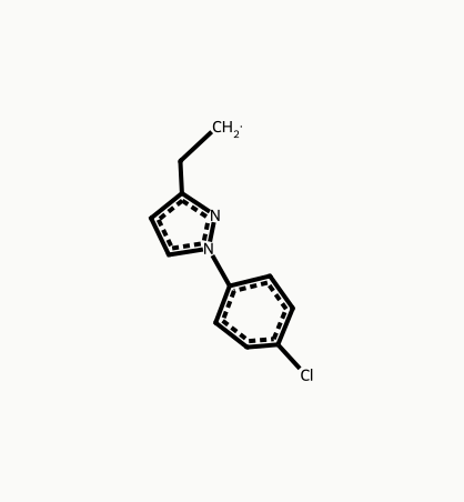 [CH2]Cc1ccn(-c2ccc(Cl)cc2)n1